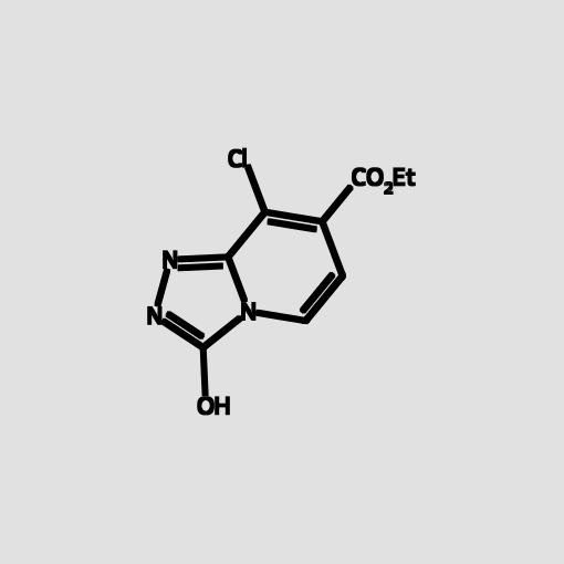 CCOC(=O)c1ccn2c(O)nnc2c1Cl